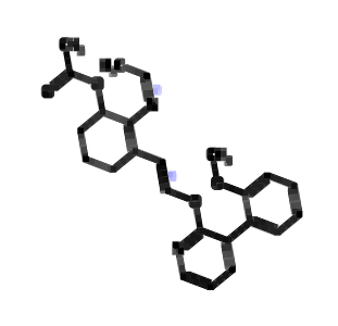 C/C=N\C1=C(/C=C/Oc2ncccc2-c2ccccc2OC)CCCC1OC(C)=O